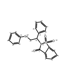 O=C1c2ccccc2S(=O)(=O)N1C(C[Se]c1ccccc1)c1ccccc1